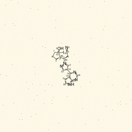 N#CC[C@H]([C@H]1CCC[C@]1(O)I)n1cc(-c2ncnc3[nH]ccc23)cn1